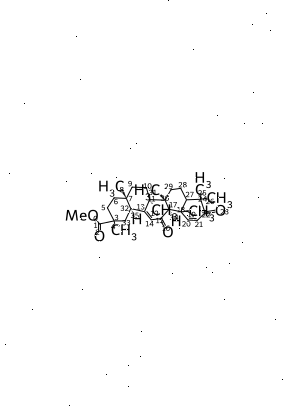 COC(=O)C1(C)CC[C@]2(C)CC[C@]3(C)C(=CC(=O)[C@@H]4[C@@]5(C)C=CC(=O)C(C)(C)C5CC[C@]43C)[C@H]2C1